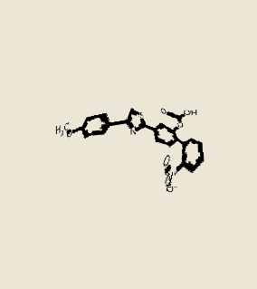 COc1ccc(-c2csc(-c3ccc(-c4ccccc4[N+](=O)[O-])c(OC(=O)O)c3)n2)cc1